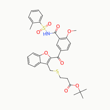 COc1ccc(C(=O)c2oc3ccccc3c2CSCCC(=O)OC(C)(C)C)cc1C(=O)NS(=O)(=O)c1ccccc1C